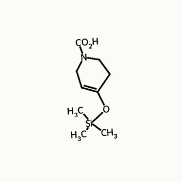 C[Si](C)(C)OC1=CCN(C(=O)O)CC1